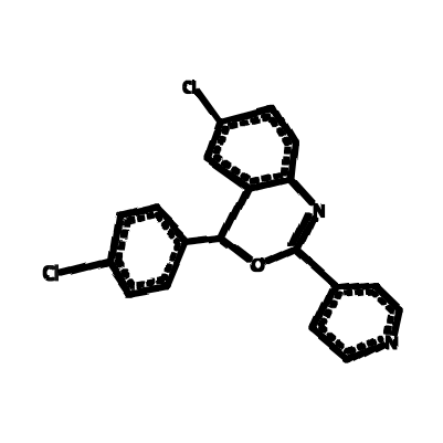 Clc1ccc(C2OC(c3ccncc3)=Nc3ccc(Cl)cc32)cc1